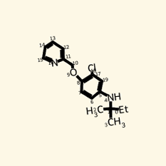 CCC(C)(C)Nc1ccc(OCc2ccccn2)c(Cl)c1